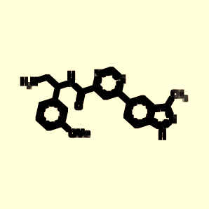 COc1cccc(C(CN)NC(=O)c2cc(-c3ccc4[nH]nc(C)c4c3)ncn2)c1